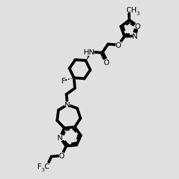 Cc1cc(OCC(=O)N[C@H]2CC[C@](F)(CCN3CCc4ccc(OCC(F)(F)F)nc4CC3)CC2)no1